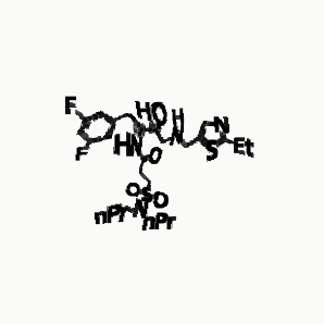 CCCN(CCC)S(=O)(=O)CCC(=O)N[C@@H](Cc1cc(F)cc(F)c1)[C@@H](O)CNCc1cnc(CC)s1